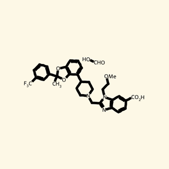 COCCn1c(CN2CCC(c3cccc4c3OC(C)(c3cccc(C(F)(F)F)c3)O4)CC2)nc2ccc(C(=O)O)cc21.O=CO